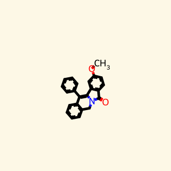 COc1ccc2c(c1)C1=C(c3ccccc3)c3ccccc3CN1C2=O